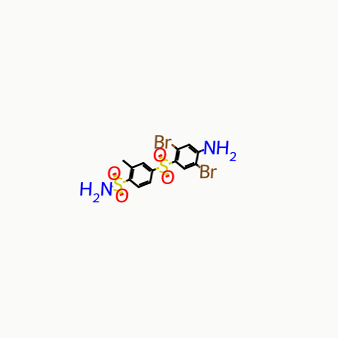 Cc1cc(S(=O)(=O)c2cc(Br)c(N)cc2Br)ccc1S(N)(=O)=O